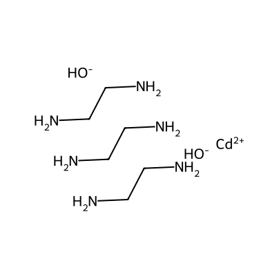 NCCN.NCCN.NCCN.[Cd+2].[OH-].[OH-]